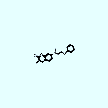 Cc1cc2ccc(NCCOc3ccccc3)cc2oc1=O